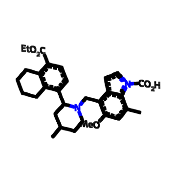 CCOC(=O)c1ccc(C2CC(C)CCN2Cc2c(OC)cc(C)c3c2ccn3C(=O)O)c2c1CCCC2